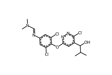 CC(C)C(O)c1cc(Oc2c(Cl)cc(N=CN(C)C)cc2Cl)nnc1Cl